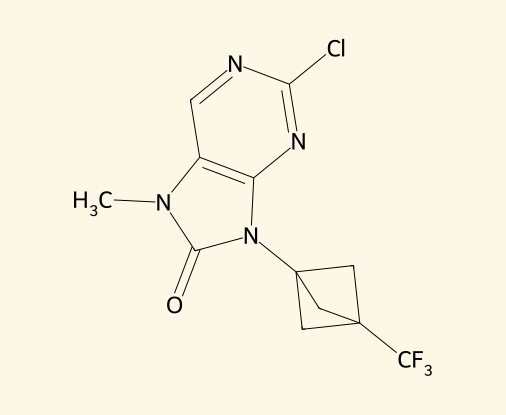 Cn1c(=O)n(C23CC(C(F)(F)F)(C2)C3)c2nc(Cl)ncc21